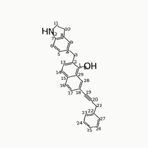 Oc1c(Cc2ccc3c(c2)CCN3)ccc2ccc(C#CCc3ccccc3)cc12